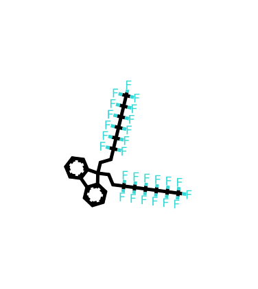 FC(F)(F)C(F)(F)C(F)(F)C(F)(F)C(F)(F)C(F)(F)CCC1(CCC(F)(F)C(F)(F)C(F)(F)C(F)(F)C(F)(F)C(F)(F)F)c2ccccc2-c2ccccc21